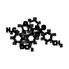 Cc1ccc(S(=O)(=O)N2CCC[C@@]3(C[C@H](c4cc(OC(F)(F)F)ccc4C)CO3)[C@@H]2c2ccccc2)cc1